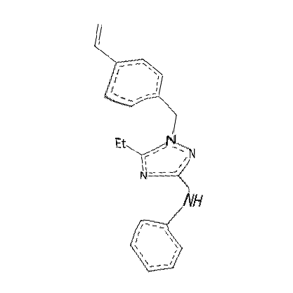 C=Cc1ccc(Cn2nc(Nc3ccccc3)nc2CC)cc1